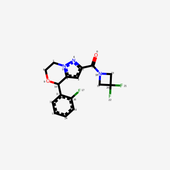 O=C(c1cc2n(n1)CCOC2c1ccccc1F)N1CC(F)(F)C1